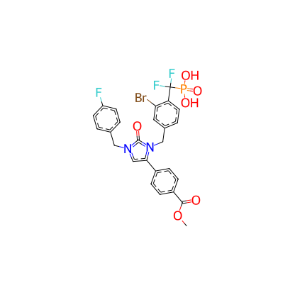 COC(=O)c1ccc(-c2cn(Cc3ccc(F)cc3)c(=O)n2Cc2ccc(C(F)(F)P(=O)(O)O)c(Br)c2)cc1